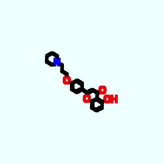 O=c1cc(-c2ccc(OCCCN3CCCCC3)cc2)oc2cccc(O)c12